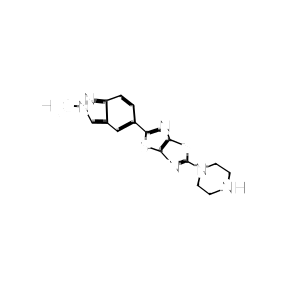 Cn1cc2cc(-c3nc4sc(N5CCNCC5)nc4s3)ccc2n1